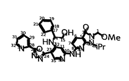 COCn1c(=O)c2ccc(Nc3cc(N[C@H](CO)c4ccccc4)c(-c4nnc(-c5ccccn5)o4)cn3)nc2n1C(C)C